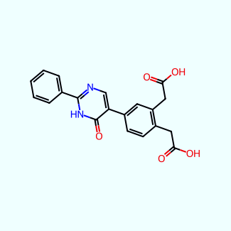 O=C(O)Cc1ccc(-c2cnc(-c3ccccc3)[nH]c2=O)cc1CC(=O)O